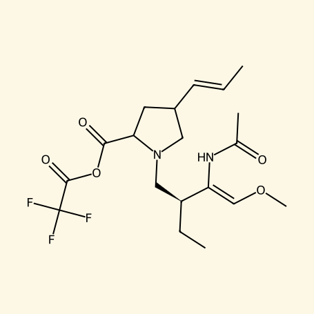 CC=CC1CC(C(=O)OC(=O)C(F)(F)F)N(C[C@H](CC)C(=COC)NC(C)=O)C1